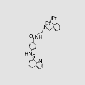 CCN(CCCNC(=O)c1ccc(NSc2cccc3cccnc23)cc1)Cc1ccccc1CC(C)C